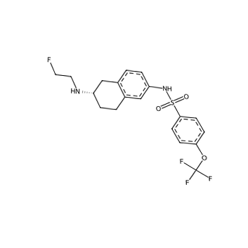 O=S(=O)(Nc1ccc2c(c1)CC[C@H](NCCF)C2)c1ccc(OC(F)(F)F)cc1